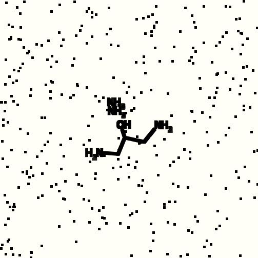 N.N.NCC(O)CN